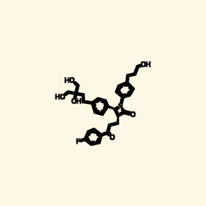 O=C(CC[C@@H]1C(=O)N(c2ccc(CCCO)cc2)[C@@H]1c1ccc(CCC(O)(CO)CO)cc1)c1ccc(F)cc1